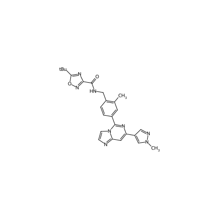 Cc1cc(-c2nc(-c3cnn(C)c3)cc3nccn23)ccc1CNC(=O)c1noc(C(C)(C)C)n1